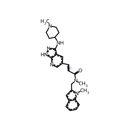 CN1CCC(Nc2n[nH]c3ncc(/C=C/C(=O)N(C)Cc4cc5ccccc5n4C)cc23)CC1